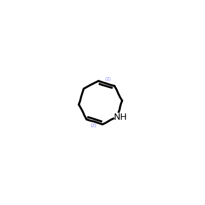 C1=C\CN/C=C\CC/1